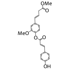 COC(=O)C/C=C/c1ccc(OC(=O)/C=C/c2ccc(O)cc2)c(OC)c1